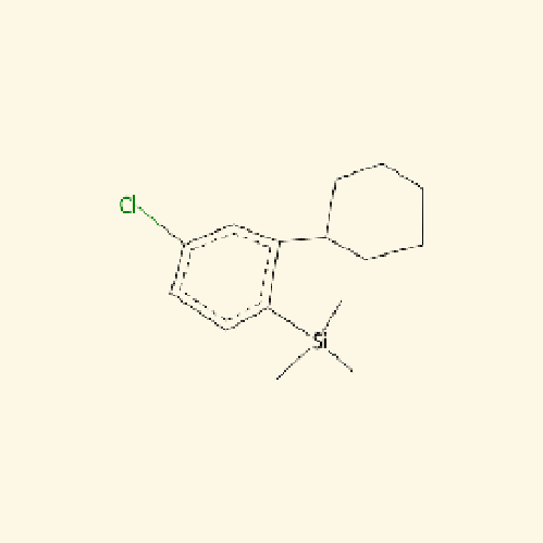 C[Si](C)(C)c1ccc(Cl)cc1C1CCCCC1